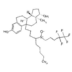 CCCCCC(CCCC12CC[C@]3(C)[C@@H](O)CC[C@H]3[C@@H]1CCc1cc(O)ccc12)[S+]([O-])CCCC(F)(F)C(F)(F)F